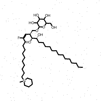 CCCCCCCCCCCCCC[C@@H](O)[C@@H](O)[C@@H](/C=C(/F)CCCCCCCCCC[Si]1(C)CCCCC1)COC1OC(CO)C(O)C(O)C1O